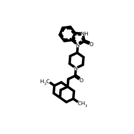 CC1CC2CC(C)CC(CC(=O)N3CCC(n4c(=O)[nH]c5ccccc54)CC3)(C1)C2